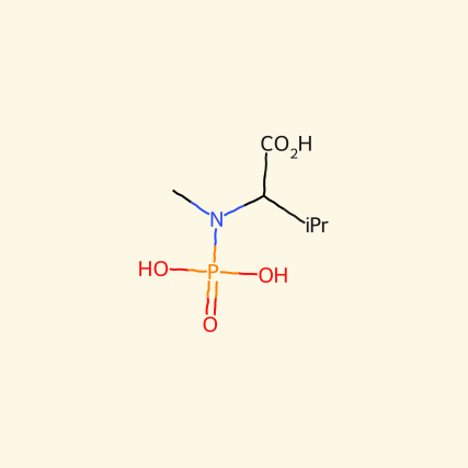 CC(C)C(C(=O)O)N(C)P(=O)(O)O